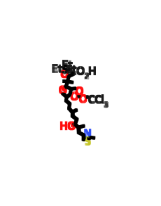 CC[Si](CC)(CC)OC(CC(=O)O)C(C)(C)C(=O)C(C)C(OC(=O)OCC(Cl)(Cl)Cl)C(C)CCC/C(C)=C/CC(O)/C(C)=C/c1csc(C)n1